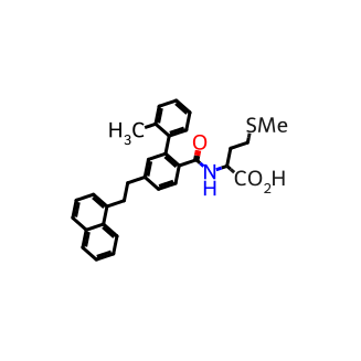 CSCCC(NC(=O)c1ccc(CCc2cccc3ccccc23)cc1-c1ccccc1C)C(=O)O